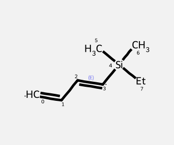 [CH]=C/C=[C]/[Si](C)(C)CC